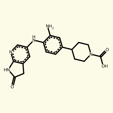 Nc1cc(C2CCN(C(=O)O)CC2)ccc1Nc1cnc2c(c1)CC(=O)N2